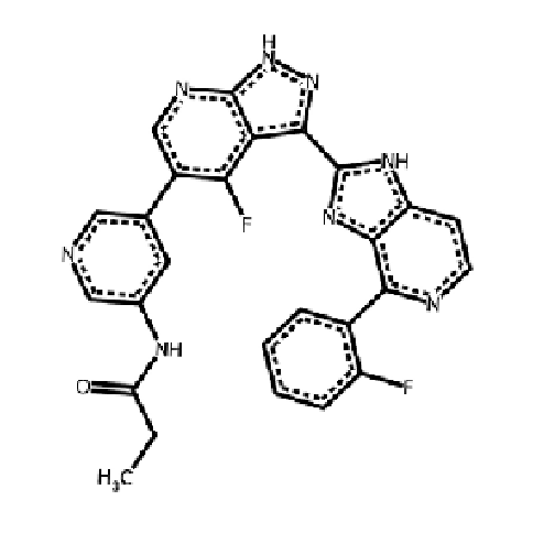 CCC(=O)Nc1cncc(-c2cnc3[nH]nc(-c4nc5c(-c6ccccc6F)nccc5[nH]4)c3c2F)c1